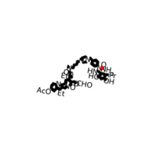 CCc1c2c(nc3ccc(OC(C)=O)cc13)-c1cc(C(C)(CC)OC(=O)N(C)CCCCN3CCN(Cc4ccc(N(C(=N)c5cc(C(C)C)c(O)cc5O)C(N)=O)cc4)CC3)c(COC=O)c(=O)n1C2